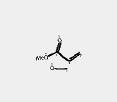 C=CC(=O)OC.CCl